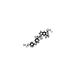 CSc1cc2c(cc1C(F)(F)F)N(C(=O)Nc1ccc(Oc3ccc(C)nc3)nc1)CC2